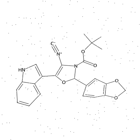 [C-]#[N+]C1=C(c2c[nH]c3ccccc23)OC(c2ccc3c(c2)OCO3)N1C(=O)OC(C)(C)C